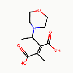 CC(C(=O)O)=C(C(=O)O)C(C)N1CCOCC1